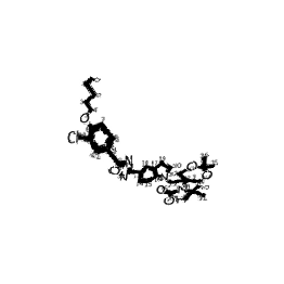 CCCCCOc1ccc(-c2nc(-c3ccc4c(c3)CCN4CC3(N(C(=O)O)C(C)(C)C)COC(C)(C)OC3)no2)cc1Cl